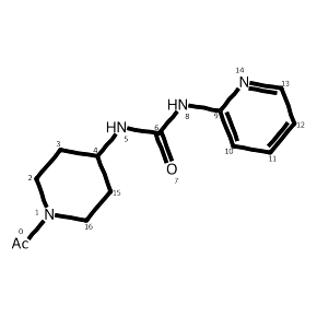 CC(=O)N1CCC(NC(=O)Nc2ccccn2)CC1